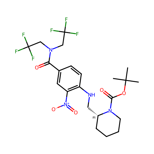 CC(C)(C)OC(=O)N1CCCC[C@@H]1CNc1ccc(C(=O)N(CC(F)(F)F)CC(F)(F)F)cc1[N+](=O)[O-]